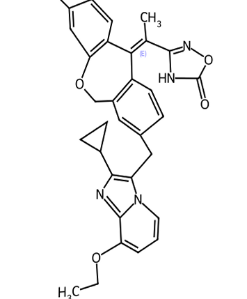 CCOc1cccn2c(Cc3ccc4c(c3)COc3cc(F)ccc3/C4=C(\C)c3noc(=O)[nH]3)c(C3CC3)nc12